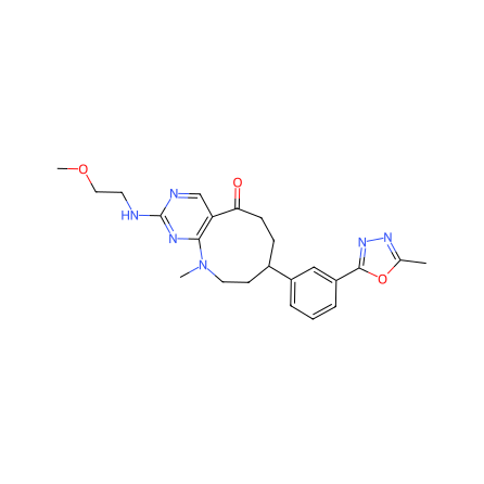 COCCNc1ncc2c(n1)N(C)CCC(c1cccc(-c3nnc(C)o3)c1)CCC2=O